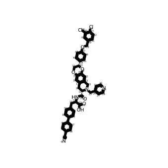 N#Cc1ccc(-c2ccc(CC(NC(=O)[C@@H]3Cc4cc5c(cc4CN3Cc3ccncc3)O[C@@H](c3ccc(OCc4ccc(Cl)c(Cl)c4)cc3)CO5)C(=O)O)cc2)cc1